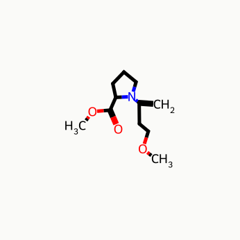 C=C(CCOC)N1CCCC1C(=O)OC